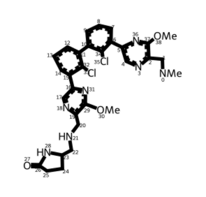 CNCc1ncc(-c2cccc(-c3cccc(-c4cnc(CNCC5CCC(=O)N5)c(OC)n4)c3Cl)c2Cl)nc1OC